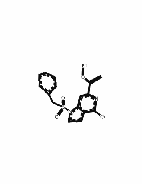 C=C(OCC)c1cc2c(ccn2S(=O)(=O)Cc2ccccc2)c(Cl)n1